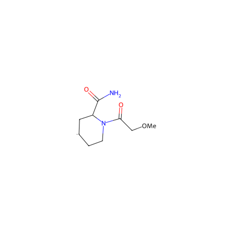 COCC(=O)N1CC[CH]CC1C(N)=O